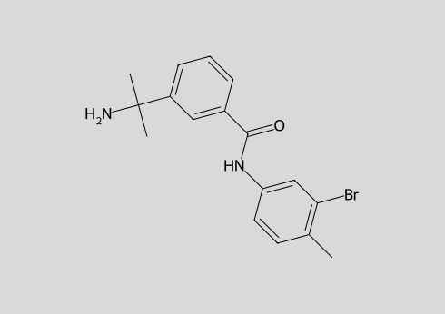 Cc1ccc(NC(=O)c2cccc(C(C)(C)N)c2)cc1Br